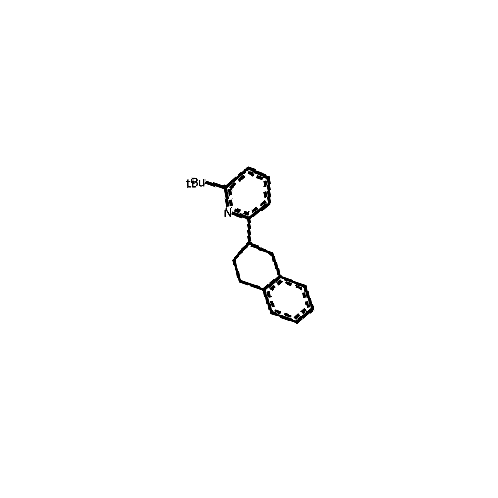 CC(C)(C)c1cccc(C2CCc3ccccc3C2)n1